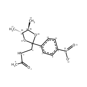 CC(=O)NCC1(c2ccc([N+](=O)[O-])cc2)O[C@H](C)[C@@H](C)O1